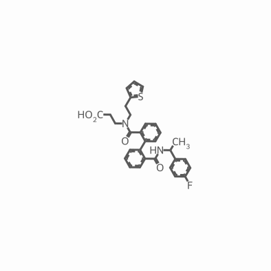 CC(NC(=O)c1ccccc1-c1ccccc1C(=O)N(CCC(=O)O)CCc1cccs1)c1ccc(F)cc1